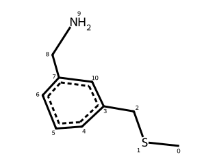 CSCc1cccc(CN)c1